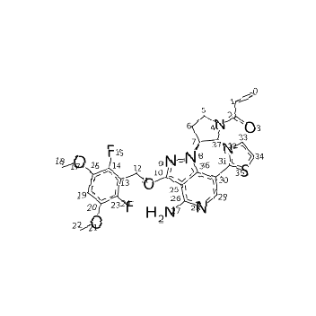 C=CC(=O)N1CC[C@H](n2nc(OCc3c(F)c(OC)cc(OC)c3F)c3c(N)ncc(-c4nccs4)c32)C1